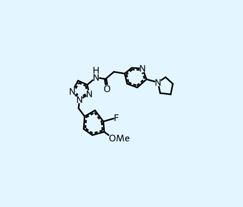 COc1ccc(Cn2ncc(NC(=O)Cc3ccc(N4CCCC4)nc3)n2)cc1F